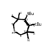 CC(C)(C)C1=C(C(C)(C)C)C(C)(C)CSCC1(C)C